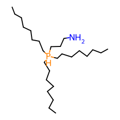 CCCCCCCC[PH](CCCN)(CCCCCCCC)CCCCCCCC